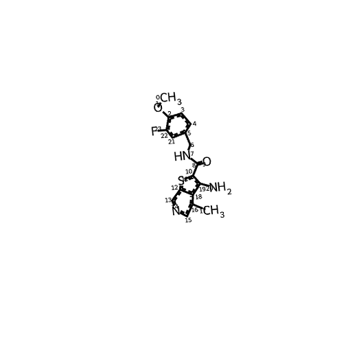 COc1ccc(CNC(=O)c2sc3cncc(C)c3c2N)cc1F